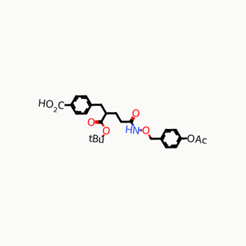 CC(=O)Oc1ccc(CONC(=O)CCC(Cc2ccc(C(=O)O)cc2)C(=O)OC(C)(C)C)cc1